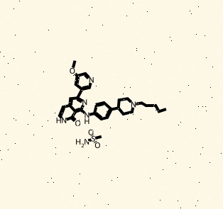 CCCCCN1CCC(c2ccc(Nc3nc(-c4cncc(OC)c4)cc4cc[nH]c(=O)c34)cc2)CC1.CS(N)(=O)=O